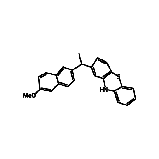 COc1ccc2cc(C(C)c3ccc4c(c3)Nc3ccccc3S4)ccc2c1